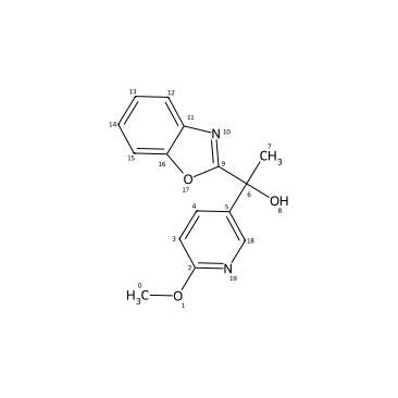 COc1ccc(C(C)(O)c2nc3ccccc3o2)cn1